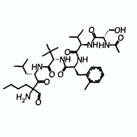 CCCCC(N)(C=O)C(=O)[C@H](CC(C)C)NC(=O)[C@@H](NC(=O)[C@H](Cc1ccccc1C)NC(=O)[C@H](NC(=O)[C@H](CO)NC(C)=O)C(C)C)C(C)(C)C